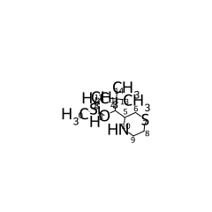 C[SiH](C)OC(C1CSCCN1)C(C)(C)C